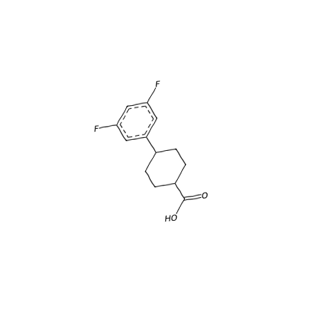 O=C(O)C1CCC(c2cc(F)cc(F)c2)CC1